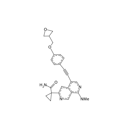 CNc1ncc(C#Cc2ccc(OCC3COC3)cc2)c2cc(C3(C(N)=O)CC3)ncc12